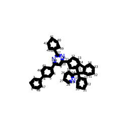 c1ccc(-c2ccc(-c3cc(-c4ccc5c(c4)C(c4ccccc4)(c4ccccn4)c4ccccc4-5)nc(-c4ccccc4)n3)cc2)cc1